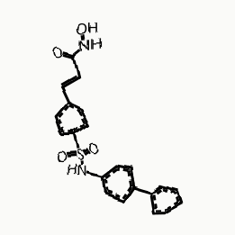 O=C(/C=C/c1ccc(S(=O)(=O)Nc2ccc(-c3ccccc3)cc2)cc1)NO